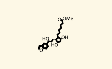 COC(=O)CCCCCCC1[C@@H](CCC(O)c2ccc3occc3c2)[C@H](O)C[C@@H]1O